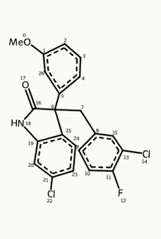 COc1cccc(C2(Cc3ccc(F)c(Cl)c3)C(=O)Nc3cc(Cl)ccc32)c1